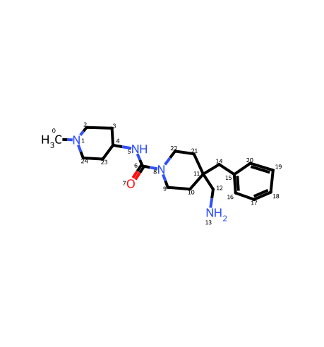 CN1CCC(NC(=O)N2CCC(CN)(Cc3ccccc3)CC2)CC1